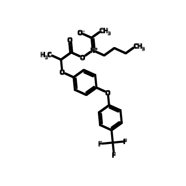 CCCC[N+](OC(=O)C(C)Oc1ccc(Oc2ccc(C(F)(F)F)cc2)cc1)=C(C)[O-]